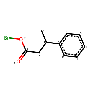 CC(CC(=O)OBr)c1ccccc1